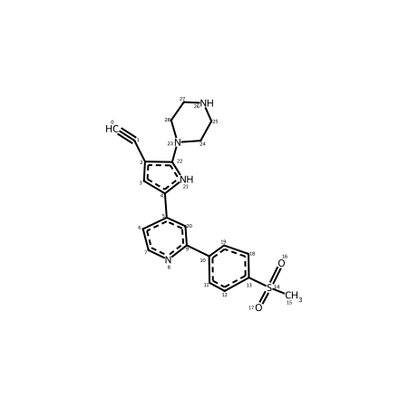 C#Cc1cc(-c2ccnc(-c3ccc(S(C)(=O)=O)cc3)c2)[nH]c1N1CCNCC1